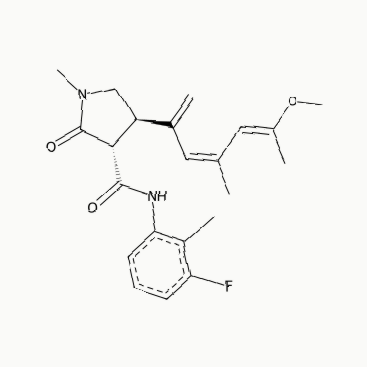 C=C(/C=C(C)\C=C(/C)OC)[C@@H]1CN(C)C(=O)[C@H]1C(=O)Nc1cccc(F)c1C